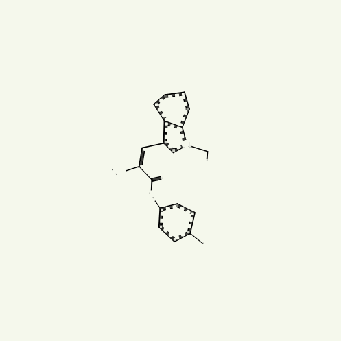 CC(C)c1ccc(NC(=O)C(C#N)=Cc2cn(CC(=O)O)c3ccccc23)cc1